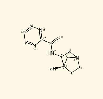 O=C(NC1CN2CC[C@H]1C2)c1ncccn1